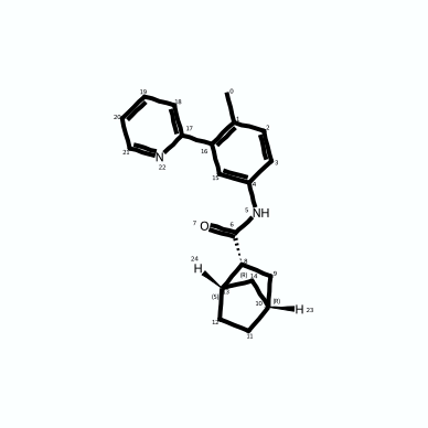 Cc1ccc(NC(=O)[C@@H]2C[C@@H]3CC[C@H]2C3)cc1-c1ccccn1